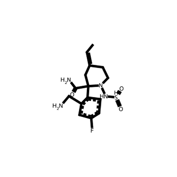 CC=C1CCN(N[SH](=O)=O)C(C(N)=O)(c2ccc(F)cc2CN)C1